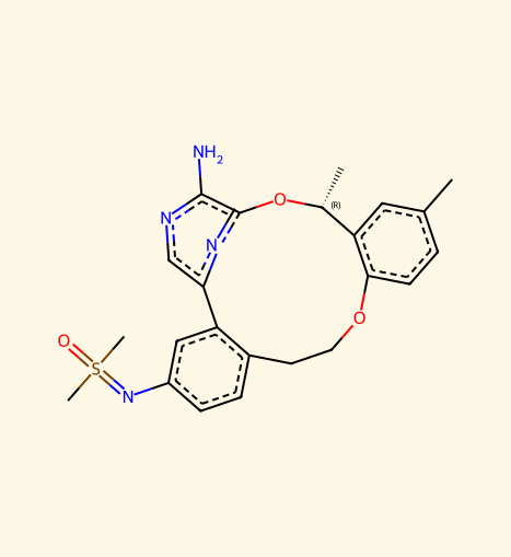 Cc1ccc2c(c1)[C@@H](C)Oc1nc(cnc1N)-c1cc(N=S(C)(C)=O)ccc1CCO2